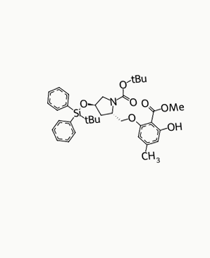 COC(=O)c1c(O)cc(C)cc1OC[C@@H]1C[C@@H](O[Si](c2ccccc2)(c2ccccc2)C(C)(C)C)CN1C(=O)OC(C)(C)C